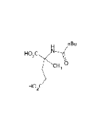 CCCCC(=O)NC(C)(CCC(=O)O)C(=O)O